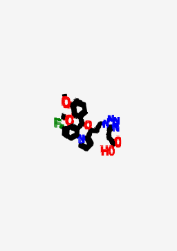 COc1cccc(C2OC(CCn3nnnc3CC(=O)O)c3cccn3-c3ccc(F)cc32)c1OC